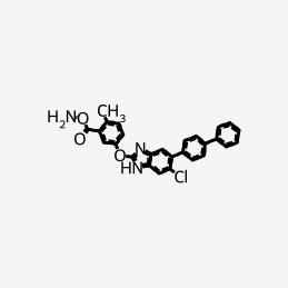 Cc1ccc(Oc2nc3cc(-c4ccc(-c5ccccc5)cc4)c(Cl)cc3[nH]2)cc1C(=O)ON